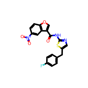 O=C(Nc1ncc(Cc2ccc(F)cc2)s1)c1coc2ccc([N+](=O)[O-])cc12